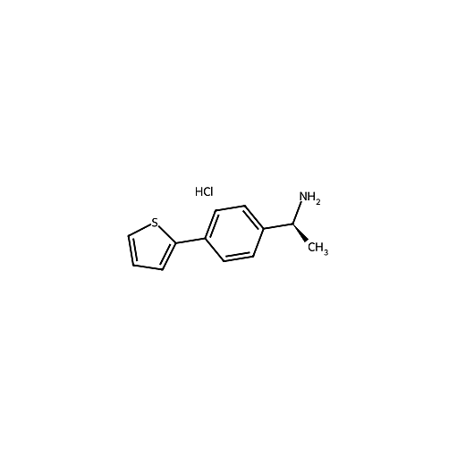 C[C@H](N)c1ccc(-c2cccs2)cc1.Cl